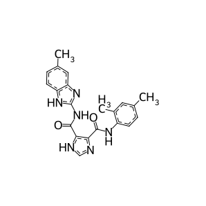 Cc1ccc(NC(=O)c2nc[nH]c2C(=O)Nc2nc3cc(C)ccc3[nH]2)c(C)c1